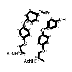 CC(=O)N[C@@H](C)COc1ccc(Oc2ccc(O)cc2)cc1.CC(=O)N[C@@H](C)COc1ccc(Oc2ccc(OC(C)C)cc2)cc1